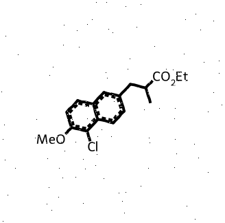 CCOC(=O)C(C)Cc1ccc2c(Cl)c(OC)ccc2c1